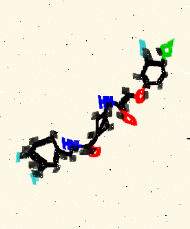 O=C(COc1ccc(Cl)c(F)c1)NC12CC(C(=O)NCc3ccc(F)c(F)c3)(C1)C2